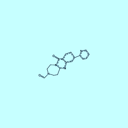 O=CN1CCc2nc3cc(-c4ccccn4)ccc3c(=O)n2CC1